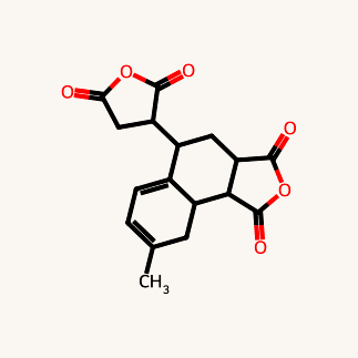 CC1=CC=C2C(C3CC(=O)OC3=O)CC3C(=O)OC(=O)C3C2C1